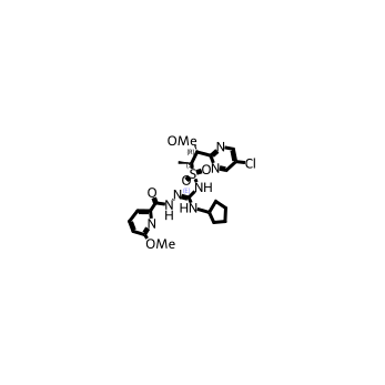 COc1cccc(C(=O)N/N=C(\NC2CCCC2)NS(=O)(=O)[C@@H](C)[C@H](OC)c2ncc(Cl)cn2)n1